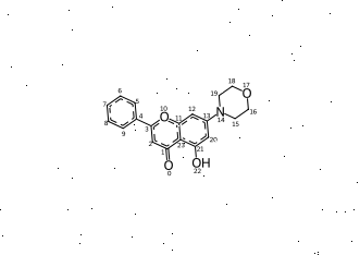 O=c1cc(-c2ccccc2)oc2cc(N3CCOCC3)cc(O)c12